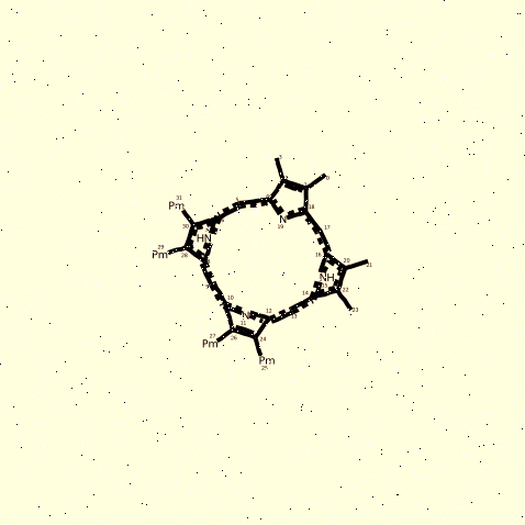 CC1=C(C)c2cc3[nH]c(cc4nc(cc5[nH]c(cc1n2)c(C)c5C)[C]([Pm])=[C]4[Pm])[c]([Pm])[c]3[Pm]